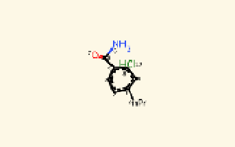 CCCc1ccc(C(N)=O)cc1.Cl